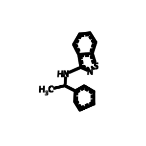 CC(Nc1nsc2ccccc12)c1ccccc1